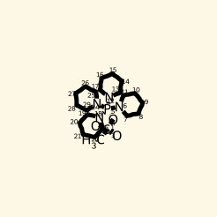 CS(=O)(=O)OP(N1CCCCC1)(N1CCCCC1)(N1CCCCC1)N1CCCCC1